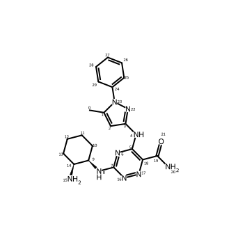 Cc1cc(Nc2nc(N[C@@H]3CCCC[C@@H]3N)nnc2C(N)=O)nn1-c1ccccc1